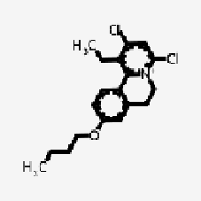 CCCCOc1ccc2c(c1)CC[n+]1c(Cl)cc(Cl)c(CC)c1-2